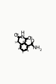 NC(=O)c1cccc2c1C(=O)NC(=O)C2